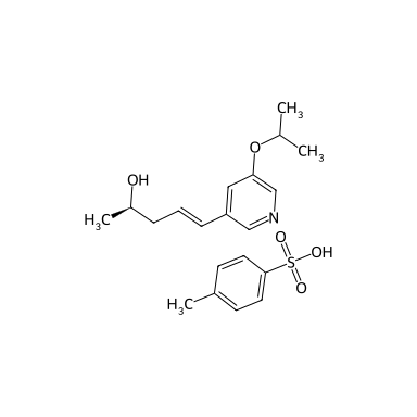 CC(C)Oc1cncc(/C=C/C[C@@H](C)O)c1.Cc1ccc(S(=O)(=O)O)cc1